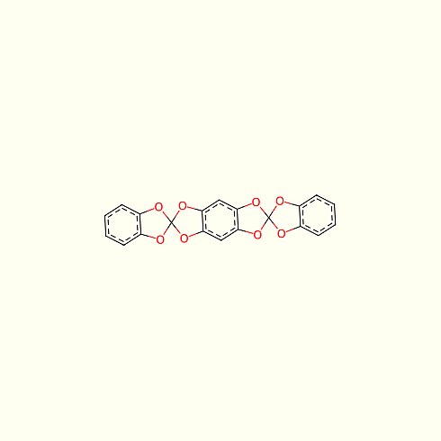 c1ccc2c(c1)OC1(O2)Oc2cc3c(cc2O1)OC1(Oc2ccccc2O1)O3